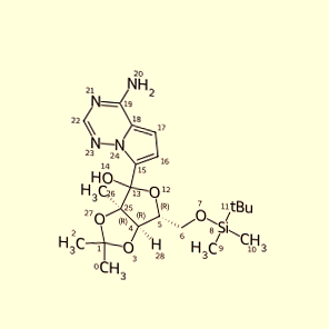 CC1(C)O[C@@H]2[C@@H](CO[Si](C)(C)C(C)(C)C)OC(O)(c3ccc4c(N)ncnn34)[C@]2(C)O1